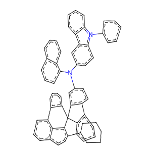 c1ccc(-n2c3ccccc3c3cc(N(c4ccc5c(c4)C4(c6ccccc6-5)c5ccccc5-c5cccc6ccc(C7CCCCC7)c4c56)c4cccc5ccccc45)ccc32)cc1